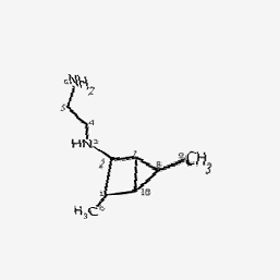 CC1C(NCCN)C2C(C)C12